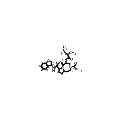 CN[C@@H](C)C(=O)NC1CN(C(N)=O)CCC2CCC(C(=O)N[C@@H]3COc4ccccc43)N2C1=O